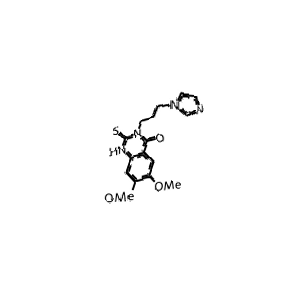 COc1cc2[nH]c(=S)n(CCCn3ccnc3)c(=O)c2cc1OC